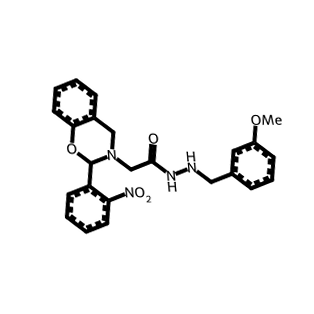 COc1cccc(CNNC(=O)CN2Cc3ccccc3OC2c2ccccc2[N+](=O)[O-])c1